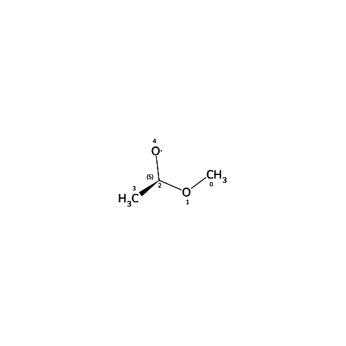 CO[C@@H](C)[O]